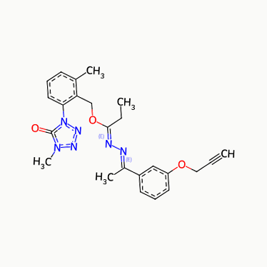 C#CCOc1cccc(/C(C)=N/N=C(\CC)OCc2c(C)cccc2-n2nnn(C)c2=O)c1